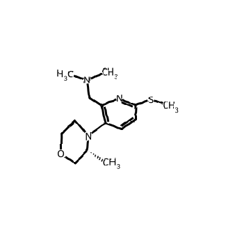 CSc1ccc(N2CCOC[C@H]2C)c(CN(C)C)n1